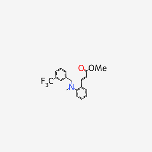 COC(=O)C=Cc1ccccc1N(C)Cc1cccc(C(F)(F)F)c1